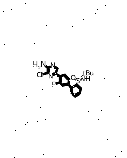 CC(C)(C)N[S+]([O-])c1ccccc1-c1ccc(-c2cnc(N)c(Cl)n2)c(F)c1